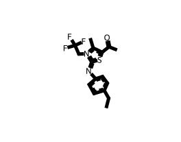 CCc1ccc(/N=c2\sc(C(C)=O)c(C)n2CC(F)(F)F)cc1